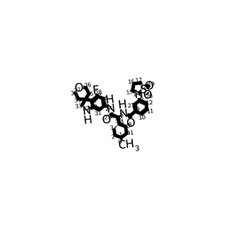 C[C@H]1CC[C@H]([C@H](NC(=O)c2cccc(N3CCCS3(=O)=O)c2)C(=O)Nc2cc(F)c3c(c2)NCC32CCOCC2)CC1